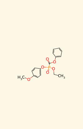 CCOP(=O)(Oc1ccc(OC)cc1)C(=O)Oc1ccccc1